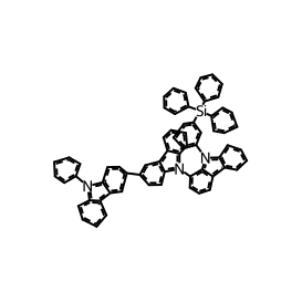 c1ccc(-n2c3ccccc3c3cc(-c4ccc5c(c4)c4ccccc4n5-c4cccc5c6ccccc6n(-c6cccc([Si](c7ccccc7)(c7ccccc7)c7ccccc7)c6)c45)ccc32)cc1